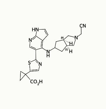 N#CCN1C[C@H]2CC(Nc3c(-c4ncc(C5(C(=O)O)CC5)s4)cnc4[nH]ccc34)C[C@H]2C1